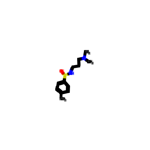 CN(C)CCCN[S+]([O-])c1ccc([N+](=O)[O-])cc1